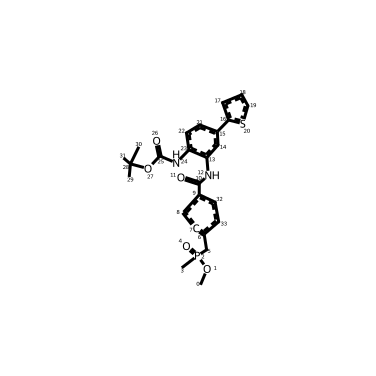 COP(C)(=O)Cc1ccc(C(=O)Nc2cc(-c3cccs3)ccc2NC(=O)OC(C)(C)C)cc1